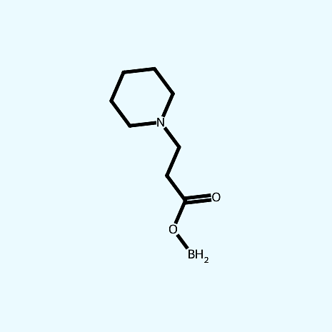 BOC(=O)CCN1CCCCC1